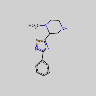 O=C(O)N1CCNCC1c1nc(-c2ccccc2)ns1